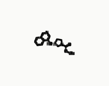 CC(C)(C)OC(=O)N1CC[C@@H](Nc2cncc3ccccc23)C1